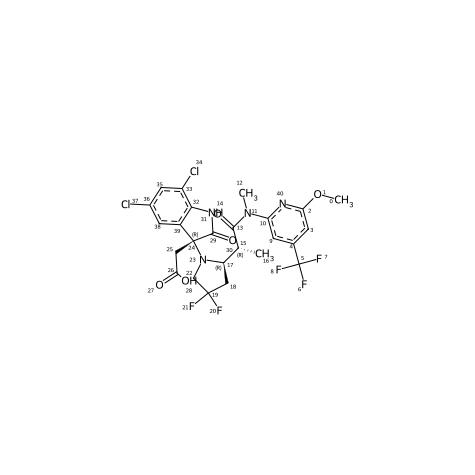 COc1cc(C(F)(F)F)cc(N(C)C(=O)[C@H](C)[C@H]2CC(F)(F)CN2[C@@]2(CC(=O)O)C(=O)Nc3c(Cl)cc(Cl)cc32)n1